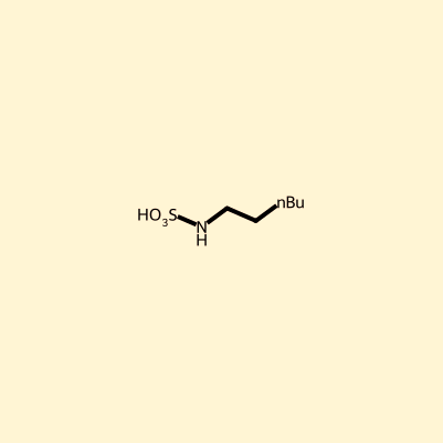 [CH2]CCCCCNS(=O)(=O)O